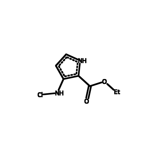 CCOC(=O)c1[nH]ccc1NCl